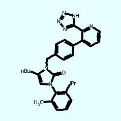 CCCCc1cn(-c2c(C)cccc2C(C)C)c(=O)n1Cc1ccc(-c2cccnc2-c2nnn[nH]2)cc1